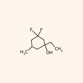 CCC1(O)CC(C)CC(F)(F)C1